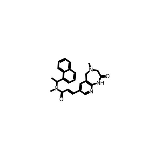 CC(c1cccc2ccccc12)N(C)C(=O)C=Cc1cnc2c(c1)CN(C)CC(=O)N2